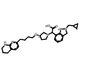 O=C(O)C(c1cccc2c1NN(CC1CC1)C2)N1CC[C@@H](OCCCCc2ccc3c(n2)NCCC3)C1